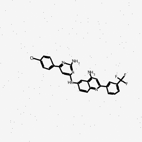 Nc1nc(Nc2ccc3nc(-c4cccc(C(F)(F)F)c4)cc(N)c3c2)cc(-c2ccc(Cl)cc2)n1